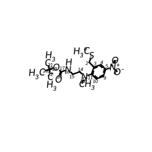 CSCc1cc([N+](=O)[O-])ccc1N(C)CCNC(=O)OC(C)(C)C